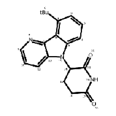 CC(C)(C)c1cccc2c1c1ncccc1n2C1CCC(=O)NC1=O